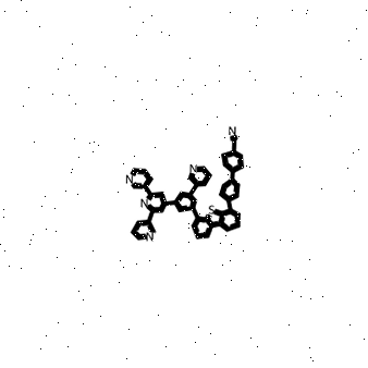 N#Cc1ccc(-c2ccc(-c3cccc4c3sc3c(-c5cc(-c6cccnc6)cc(-c6cc(-c7cccnc7)nc(-c7cccnc7)c6)c5)cccc34)cc2)cc1